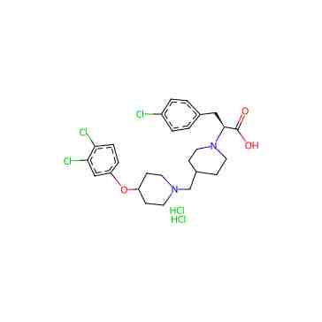 Cl.Cl.O=C(O)[C@H](Cc1ccc(Cl)cc1)N1CCC(CN2CCC(Oc3ccc(Cl)c(Cl)c3)CC2)CC1